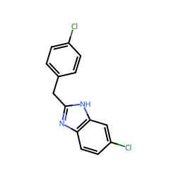 Clc1ccc(Cc2nc3ccc(Cl)cc3[nH]2)cc1